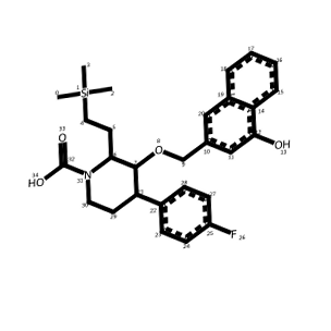 C[Si](C)(C)CCC1C(OCc2cc(O)c3ccccc3c2)C(c2ccc(F)cc2)CCN1C(=O)O